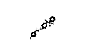 Cn1nc2ccccc2c1C(=O)N1CCC(CNCCc2ccc(F)cc2)CC1